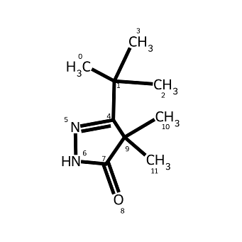 CC(C)(C)C1=NNC(=O)C1(C)C